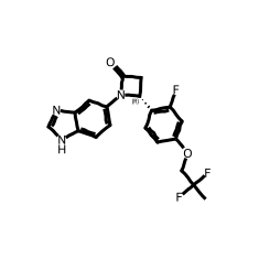 CC(F)(F)COc1ccc([C@H]2CC(=O)N2c2ccc3[nH]cnc3c2)c(F)c1